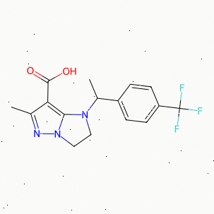 Cc1nn2c(c1C(=O)O)N(C(C)c1ccc(C(F)(F)F)cc1)CC2